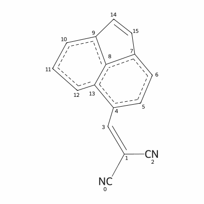 N#CC(C#N)=Cc1ccc2c3c(cccc13)C=C2